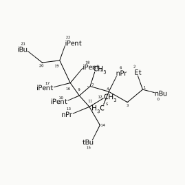 CCCCC(CC)CC(C)(CCC)[C](C)C(C(C)CCC)(C(C)(CCC)CC(C)(C)C)C(C(C)CCC)(C(C)CCC)C(CC(C)CC)C(C)CCC